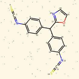 S=C=Nc1ccc(C(c2ccc(N=C=S)cc2)c2ncco2)cc1